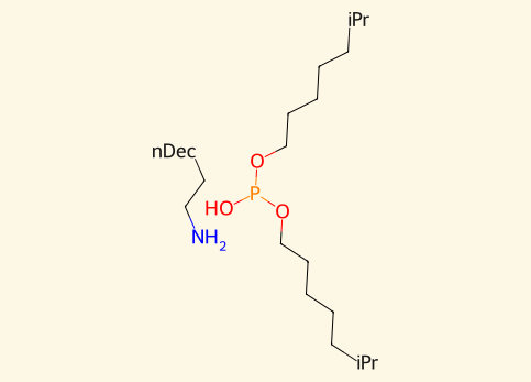 CC(C)CCCCCOP(O)OCCCCCC(C)C.CCCCCCCCCCCCN